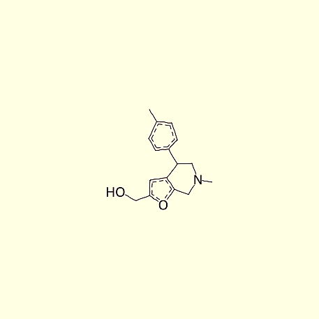 Cc1ccc(C2CN(C)Cc3oc(CO)cc32)cc1